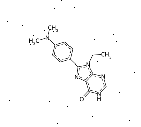 CCn1c(-c2ccc(N(C)C)cc2)nc2c(=O)[nH]cnc21